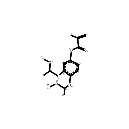 C=C(C)C(=O)Oc1ccc(OC(C)OCC)c(OC(C)OCC)c1